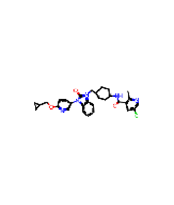 Cc1ncc(Cl)cc1C(=O)NC1CCC(Cn2c(=O)n(-c3ccc(OCC4CC4)nc3)c3ccccc32)CC1